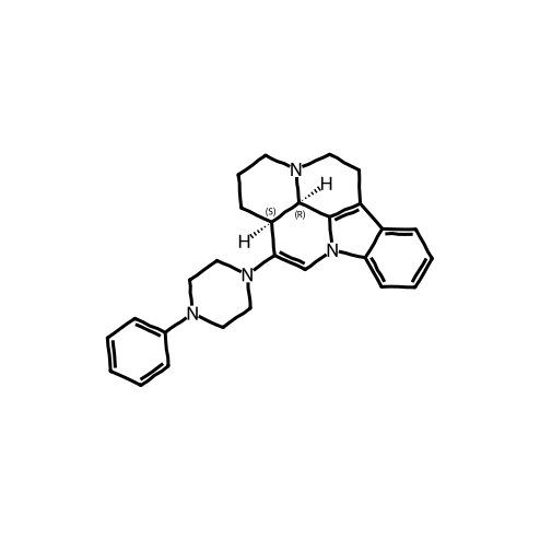 C1=C(N2CCN(c3ccccc3)CC2)[C@H]2CCCN3CCc4c(n1c1ccccc41)[C@@H]23